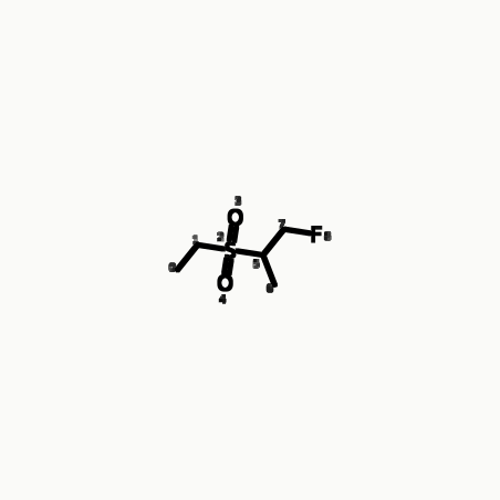 CCS(=O)(=O)C(C)CF